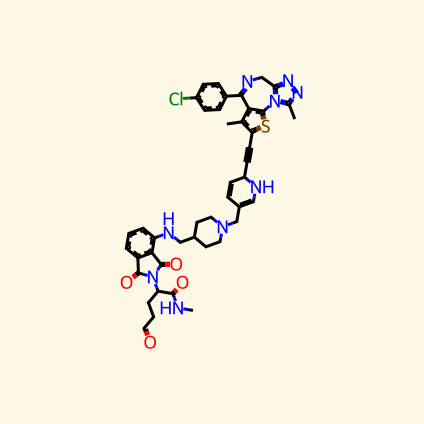 CNC(=O)C(CCC=O)N1C(=O)c2cccc(NCC3CCN(CC4=CNC(C#Cc5sc6c(c5C)C(c5ccc(Cl)cc5)=NCc5nnc(C)n5-6)C=C4)CC3)c2C1=O